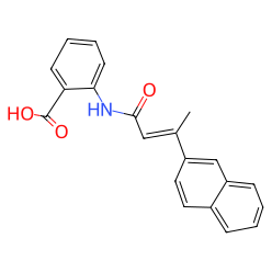 CC(=CC(=O)Nc1ccccc1C(=O)O)c1ccc2ccccc2c1